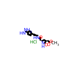 COC(=O)C[C@@H]1C[C@@H](CC(=O)NCC#Cc2ccc(C(=N)N)cc2)NC1=O.Cl